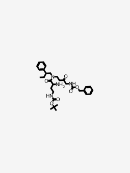 CCC(CN(CCC(=O)CNC(=O)OCc1ccccc1)C(=O)C(N)CCNC(=O)OC(C)(C)C)c1ccccc1